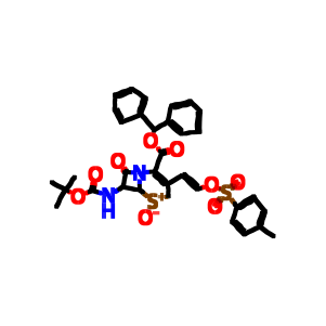 Cc1ccc(S(=O)(=O)OC=CC2=C(C(=O)OC(c3ccccc3)c3ccccc3)N3C(=O)C(NC(=O)OC(C)(C)C)C3[S+]([O-])C2)cc1